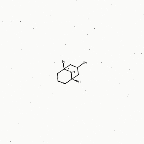 CC(C)C1C[C@H]2CCC[C@@H](C1)N2